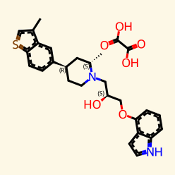 Cc1csc2ccc([C@@H]3CCN(C[C@H](O)COc4cccc5[nH]ccc45)[C@@H](C)C3)cc12.O=C(O)C(=O)O